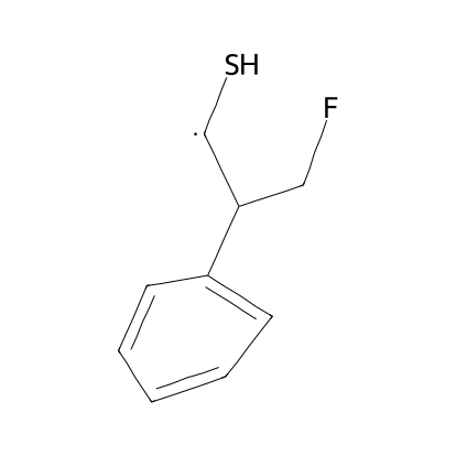 FCC([CH]S)c1ccccc1